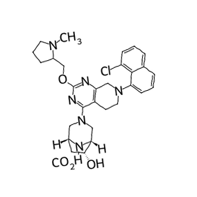 CN1CCCC1COc1nc2c(c(N3C[C@H]4C[C@@H](O)[C@@H](C3)N4C(=O)O)n1)CCN(c1cccc3cccc(Cl)c13)C2